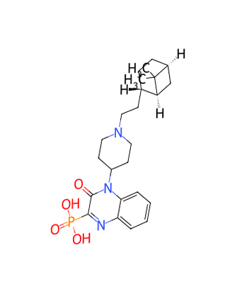 CC1(C)[C@H]2CC[C@@H](CCN3CCC(n4c(=O)c(P(=O)(O)O)nc5ccccc54)CC3)[C@@H]1C2